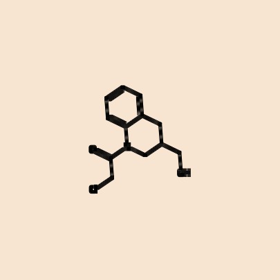 O=C(CCl)N1CC(CO)Cc2ccccc21